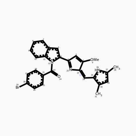 COC1=CC(c2cc3ccccc3n2C(=O)c2ccc(Br)cc2)=N/C1=C/c1[nH]c(C)cc1C